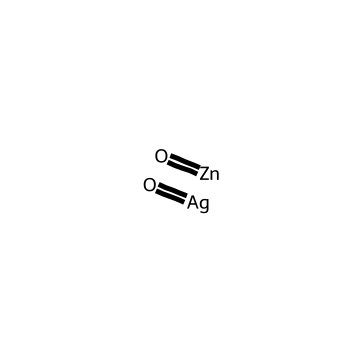 [O]=[Ag].[O]=[Zn]